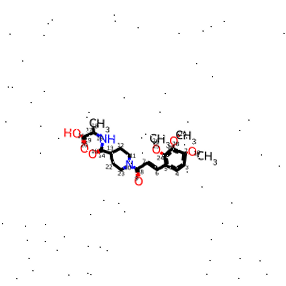 COc1ccc(/C=C/C(=O)N2CCC(C(=O)NC(C)C(=O)O)CC2)c(OC)c1OC